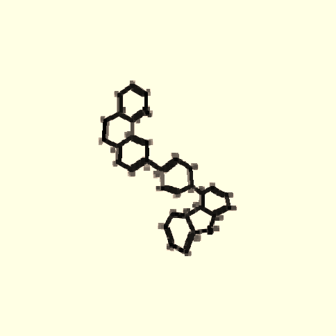 c1cnc2c(c1)ccc1ccc(-c3ccc(-c4cccc5sc6ccccc6c45)cc3)cc12